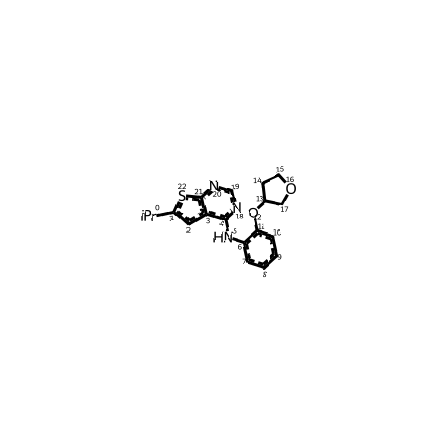 CC(C)c1cc2c(Nc3ccccc3OC3CCOC3)ncnc2s1